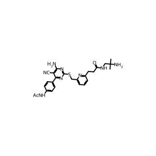 CC(=O)Nc1ccc(-c2nc(SCc3cccc(CCC(=O)NCC(C)(C)N)n3)nc(N)c2C#N)cc1